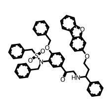 O=C(CNC(CCOc1ccc2c(c1)oc1ccccc12)c1ccccc1)c1ccc(OCc2ccccc2)c(N(Cc2ccccc2)S(=O)(=O)Cc2ccccc2)c1